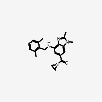 Cc1cccc(C)c1CNc1cc(C(=O)N2CC2)cc2c1nc(C)n2C